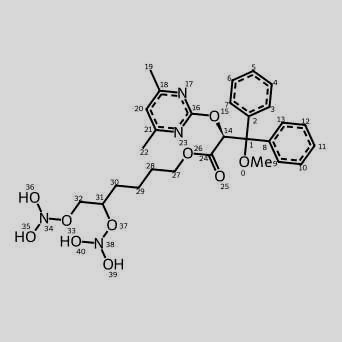 COC(c1ccccc1)(c1ccccc1)[C@H](Oc1nc(C)cc(C)n1)C(=O)OCCCCC(CON(O)O)ON(O)O